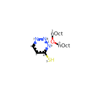 CCCCCCCCOCCCCCCCC.Sc1ccnnn1